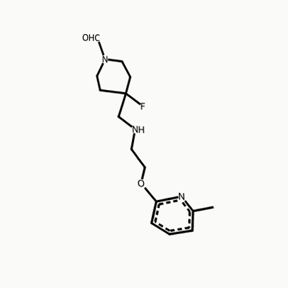 Cc1cccc(OCCNCC2(F)CCN(C=O)CC2)n1